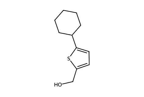 OCc1ccc(C2CCCCC2)s1